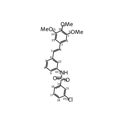 COc1cc(C=Cc2cccc(NS(=O)(=O)c3cccc(Cl)c3)c2)cc(OC)c1OC